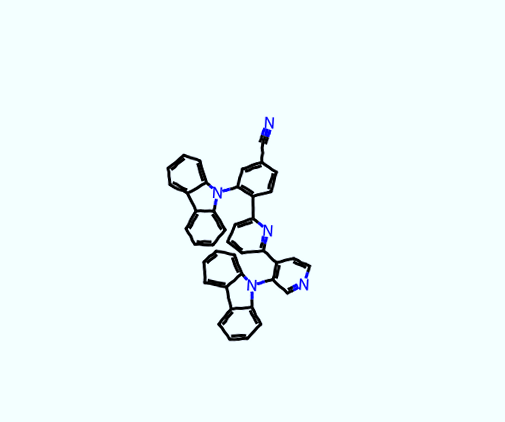 N#Cc1ccc(-c2cccc(-c3ccncc3-n3c4ccccc4c4ccccc43)n2)c(-n2c3ccccc3c3ccccc32)c1